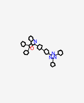 c1ccc(-c2nc(-c3ccccc3)nc(-c3ccc(-c4ccc(-c5nc6ccccc6c6c(-c7ccccc7)c(-c7ccccc7)oc56)cc4)cc3)n2)cc1